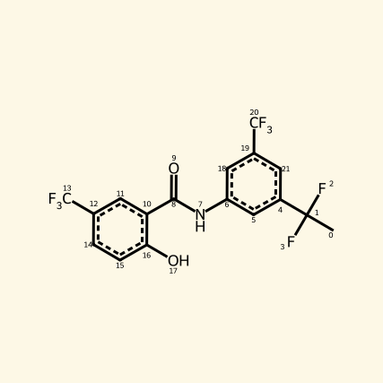 CC(F)(F)c1cc(NC(=O)c2cc(C(F)(F)F)ccc2O)cc(C(F)(F)F)c1